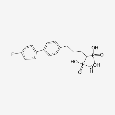 O=P(O)(O)C(CCCc1ccc(-c2ccc(F)cc2)cc1)P(=O)(O)O